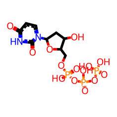 O=c1ccn(C2CC(O)C(COP(=O)(O)OP(=O)(O)OP(=O)(O)O)O2)c(=O)[nH]1